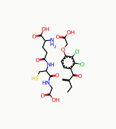 C=C(CC)C(=O)c1ccc(OCC(=O)O)c(Cl)c1Cl.NC(CCC(=O)NC(CS)C(=O)NCC(=O)O)C(=O)O